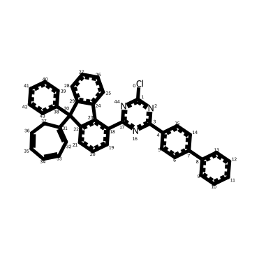 Clc1nc(-c2ccc(-c3ccccc3)cc2)nc(-c2cccc3c2-c2ccccc2C3(C2=CC=CC=CC2)c2ccccc2)n1